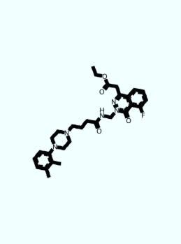 CCOC(=O)Cc1nn(CNC(=O)CCCN2CCN(c3cccc(C)c3C)CC2)c(=O)c2c(F)cccc12